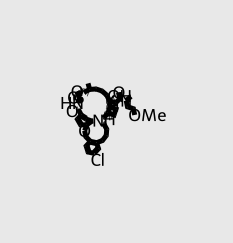 COCCN(C)C(=O)C[C@@]1(O)CCCC(C)[C@@H](C)S(=O)(=O)NC(=O)c2ccc3c(c2)N(CCCCc2cc(Cl)ccc2CO3)C[C@@H]2CC[C@H]21